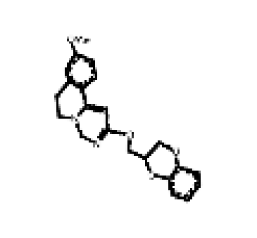 COc1ccc2c(c1)CCN1CN=C(OCC3COc4ccccc4O3)C=C21